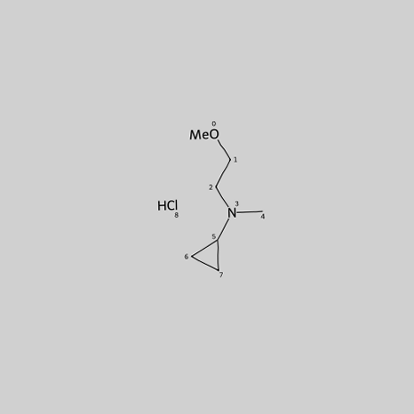 COCCN(C)C1CC1.Cl